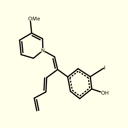 C=C/C=C/C(=C\N1C=C(OC)C=CC1)c1ccc(O)c(I)c1